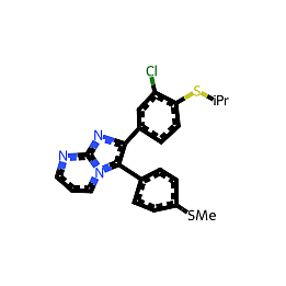 CSc1ccc(-c2c(-c3ccc(SC(C)C)c(Cl)c3)nc3ncccn23)cc1